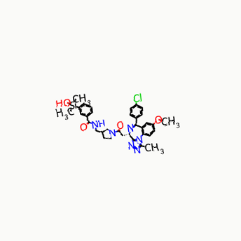 COc1ccc2c(c1)C(c1ccc(Cl)cc1)=N[C@@H](CC(=O)N1CCC(CNC(=O)c3cccc([Si](C)(C)O)c3)C1)c1nnc(C)n1-2